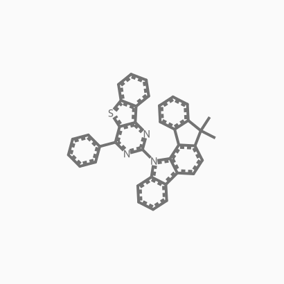 CC1(C)c2ccccc2-c2c1ccc1c3ccccc3n(-c3nc(-c4ccccc4)c4sc5ccccc5c4n3)c21